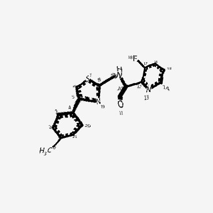 Cc1ccc(-c2csc(NC(=O)c3ncccc3F)n2)cc1